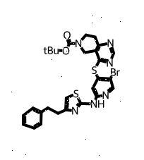 CC(C)(C)OC(=O)N1CCc2ncnc(Sc3cc(Nc4nc(CCc5ccccc5)cs4)ncc3Br)c2C1